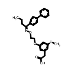 CCCC(=NOCCOc1cc(CC(=O)O)cc(OC)c1)c1ccc(-c2ccccc2)cc1